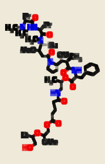 CCC(CO)OC(COC(=O)CCCC(=O)NCC(C)OC(=O)[C@H](Cc1ccccc1)NC(=O)[C@H](C)[C@@H](OC)[C@@H]1CCCN1C(=O)C[C@@H](OC)[C@H]([C@@H](C)CC)N(C)C(=O)[C@@H](NC(=O)[C@H](C(C)C)N(C)C)C(C)C)OC